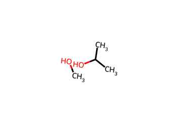 CC(C)O.CO